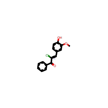 COc1cc(/C=C(\Cl)C(=O)c2ccccc2)ccc1O